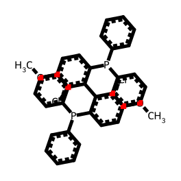 COc1ccc(P(c2ccccc2)c2ccccc2)c(-c2c(P(c3ccccc3)c3ccccc3)ccc(OC)c2Cl)c1Cl